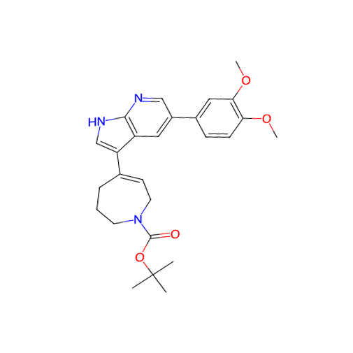 COc1ccc(-c2cnc3[nH]cc(C4=CCN(C(=O)OC(C)(C)C)CCC4)c3c2)cc1OC